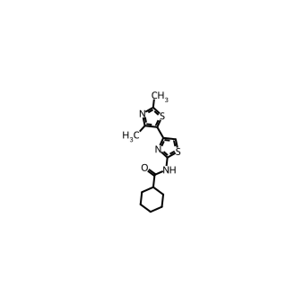 Cc1nc(C)c(-c2csc(NC(=O)C3CCCCC3)n2)s1